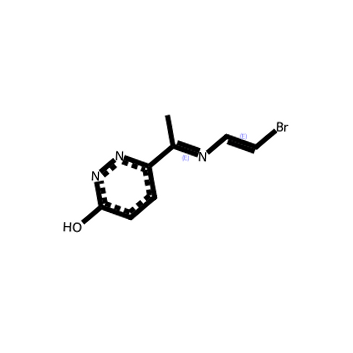 C/C(=N\C=C\Br)c1ccc(O)nn1